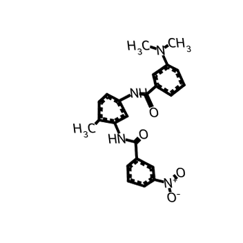 Cc1ccc(NC(=O)c2cccc(N(C)C)c2)cc1NC(=O)c1cccc([N+](=O)[O-])c1